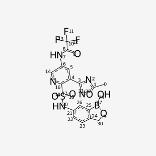 Cc1nc(-c2cc(NC(=O)C(F)(F)F)cnc2S(=O)(=O)Nc2ccc3c(c2)B(O)OC3)no1